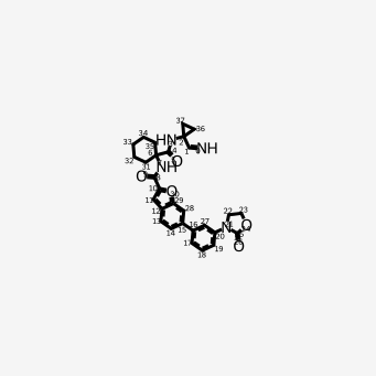 N=CC1(NC(=O)C2(NC(=O)c3cc4ccc(-c5cccc(N6CCOC6=O)c5)cc4o3)CCCCC2)CC1